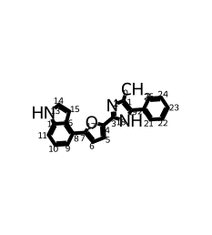 Cc1nc(-c2ccc(-c3cccc4[nH]ccc34)o2)[nH]c1-c1ccccc1